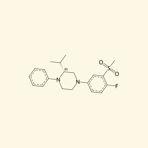 CC(C)[C@@H]1CN(c2ccc(F)c(S(C)(=O)=O)c2)CCN1c1ccccc1